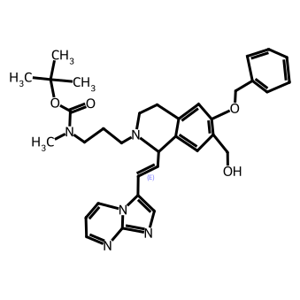 CN(CCCN1CCc2cc(OCc3ccccc3)c(CO)cc2C1/C=C/c1cnc2ncccn12)C(=O)OC(C)(C)C